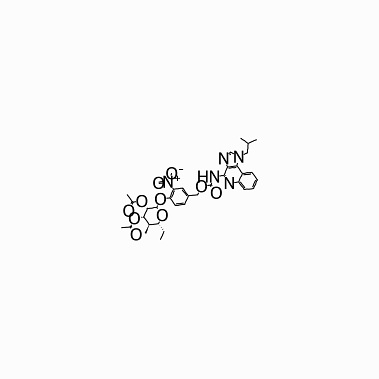 CC[C@H]1OC(Oc2ccc(COC(=O)Nc3nc4ccccc4c4c3ncn4CC(C)C)cc2[N+](=O)[O-])[C@@H](OC(C)=O)[C@@H](OC(C)=O)[C@@H]1C